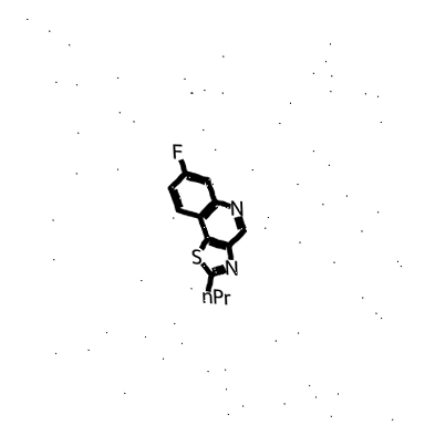 CCCc1nc2cnc3cc(F)ccc3c2s1